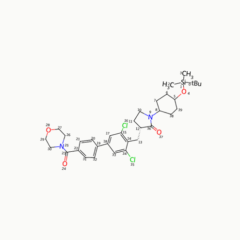 CC(C)(C)[Si](C)(C)OC1CCC(N2CC[C@@H](Cc3c(Cl)cc(-c4ccc(C(=O)N5CCOCC5)cc4)cc3Cl)C2=O)CC1